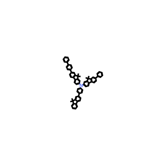 CC1(C)c2ccccc2-c2ccc(-c3ccc(N(c4ccc5c(c4)C(C)(C)c4cc(-c6ccccc6)ccc4-5)c4ccc5c(c4)C(C)(C)c4cc(-c6ccc(-c7ccccc7)cc6)ccc4-5)cc3)cc21